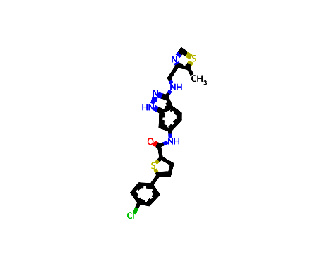 Cc1scnc1CNc1n[nH]c2cc(NC(=O)C3CC=C(c4ccc(Cl)cc4)S3)ccc12